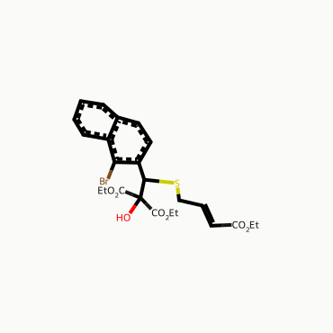 CCOC(=O)/C=C/CSC(c1ccc2ccccc2c1Br)C(O)(C(=O)OCC)C(=O)OCC